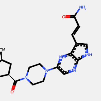 N#C[C@@H]1CC[C@@H](C(=O)N2CCN(c3cnc4[nH]cc(/C=C/C(N)=O)c4n3)CC2)C1